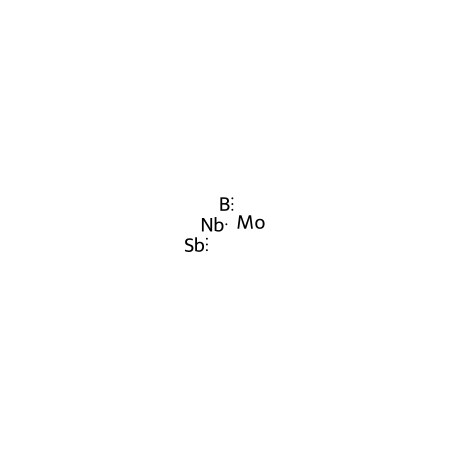 [B].[Mo].[Nb].[Sb]